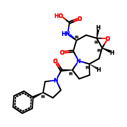 O=C(O)N[C@H]1C[C@@H]2O[C@@H]2C[C@H]2CC[C@@H](C(=O)N3CC[C@@H](c4ccccc4)C3)N2C1=O